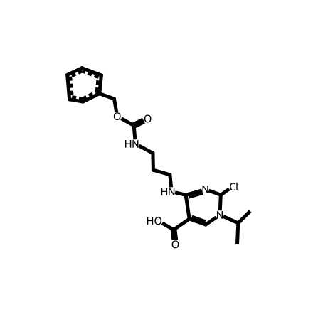 CC(C)N1C=C(C(=O)O)C(NCCCNC(=O)OCc2ccccc2)=NC1Cl